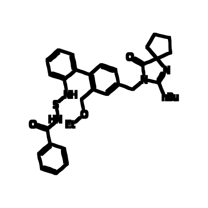 CCCCC1=NC2(CCCC2)C(=O)N1Cc1ccc(-c2ccccc2NSNC(=O)c2ccccc2)c(COCC)c1